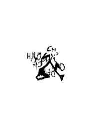 CC(C)(C[C@H](CC1CCC1)[C@](O)(C(N)=O)C1CC1)OC(N)=O